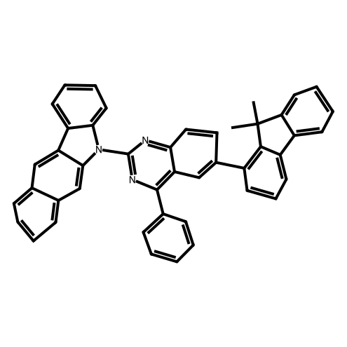 CC1(C)c2ccccc2-c2cccc(-c3ccc4nc(-n5c6ccccc6c6cc7ccccc7cc65)nc(-c5ccccc5)c4c3)c21